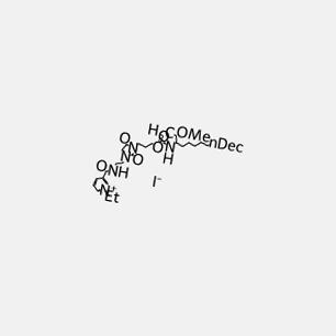 CCCCCCCCCCCCCCCC(NC(=O)OCCCN1C(=O)CN(CCNC(=O)c2ccc[n+](CC)c2)C1=O)C(C)OC.[I-]